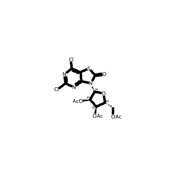 CC(=O)OC[C@H]1O[C@@H](n2c(=O)sc3c(Cl)nc(Cl)nc32)[C@H](OC(C)=O)[C@@H]1OC(C)=O